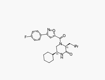 CC(C)C[C@H]1C(=O)N[C@@H](C2CCCCC2)CN1C(=O)c1cc(-c2ccc(F)cc2)no1